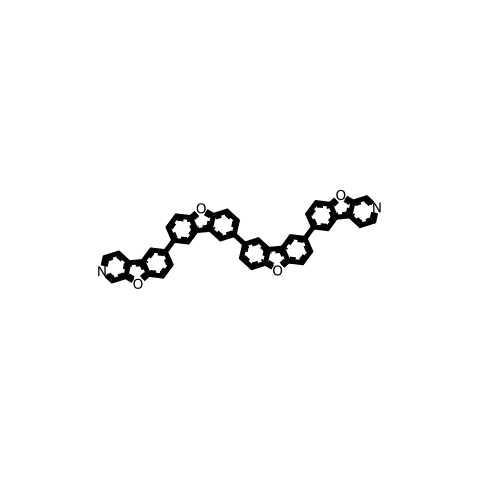 c1cc2c(cn1)oc1ccc(-c3ccc4oc5ccc(-c6ccc7oc8ccc(-c9ccc%10oc%11cnccc%11c%10c9)cc8c7c6)cc5c4c3)cc12